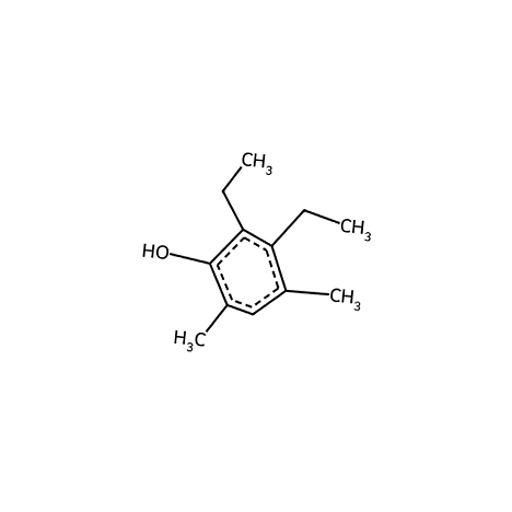 CCc1c(C)cc(C)c(O)c1CC